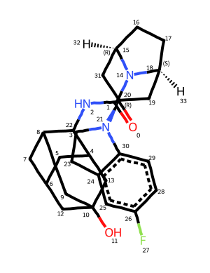 O=C(NC1C2CC3CC1CC(O)(C3)C2)N1[C@@H]2CC[C@H]1C[C@@H](N1CCc3cc(F)ccc31)C2